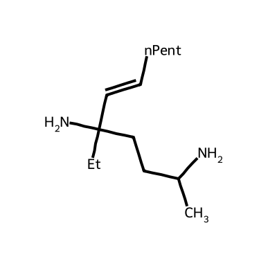 CCCCCC=CC(N)(CC)CCC(C)N